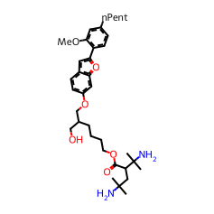 CCCCCc1ccc(-c2cc3ccc(OCC(CO)CCCCOC(=O)C(CC(C)(C)N)C(C)(C)N)cc3o2)c(OC)c1